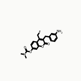 CN(C)C(=O)Oc1ccc2c(CF)c(Cc3cccc(N)c3)c(=O)oc2c1